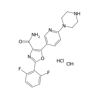 Cl.Cl.NC(=O)c1nc(-c2c(F)cccc2F)oc1-c1ccc(N2CCNCC2)nc1